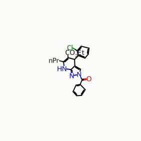 CCCC1=C(C(=O)OCC)C(c2ccccc2Cl)c2cn(C(=O)c3ccccc3)nc2N1